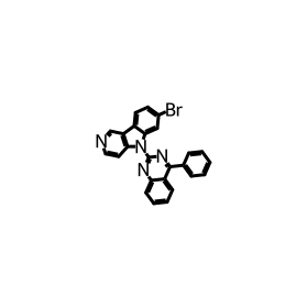 Brc1ccc2c3cnccc3n(-c3nc(-c4ccccc4)c4ccccc4n3)c2c1